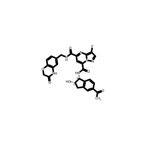 CC(=O)c1ccc2c(c1)C[C@H](O)[C@@H]2NC(=O)c1cc(C(=O)NCc2ccc3c(c2)NC(=O)CO3)nc2c(F)cnn12